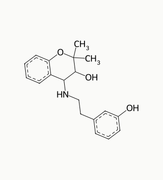 CC1(C)Oc2ccccc2C(NCCc2cccc(O)c2)C1O